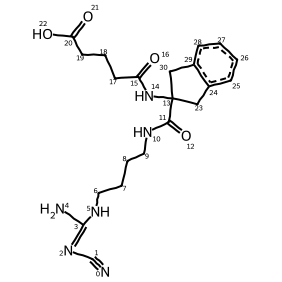 N#C/N=C(/N)NCCCCNC(=O)C1(NC(=O)CCCC(=O)O)Cc2ccccc2C1